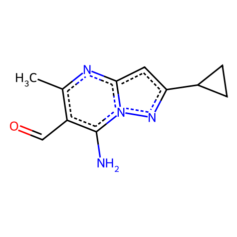 Cc1nc2cc(C3CC3)nn2c(N)c1C=O